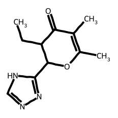 CCC1C(=O)C(C)=C(C)OC1c1nnc[nH]1